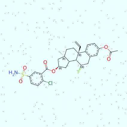 C=C[C@]12CC[C@]3(C)C[C@H](OC(=O)c4cc(S(N)(=O)=O)ccc4Cl)CC3C1[C@H](F)Cc1cc(OC(C)=O)ccc12